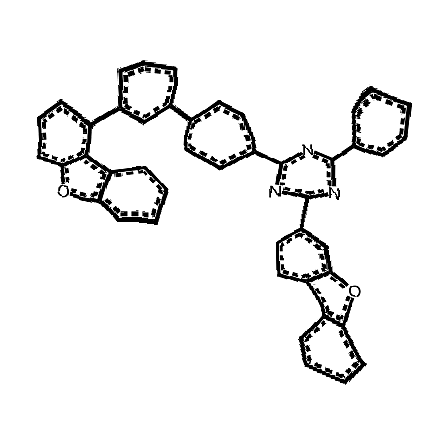 c1ccc(-c2nc(-c3ccc(-c4cccc(-c5cccc6oc7ccccc7c56)c4)cc3)nc(-c3ccc4c(c3)oc3ccccc34)n2)cc1